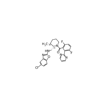 C[C@@H]1CCCN(C(=O)c2c(F)ccc(F)c2-c2ncccn2)[C@@H]1CNc1nc2cc(Cl)ccc2o1